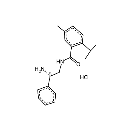 Cc1ccc(C(C)C)c(C(=O)NC[C@@H](N)c2ccccc2)c1.Cl